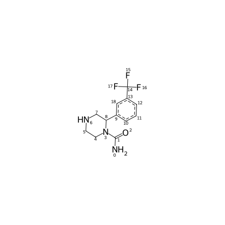 NC(=O)N1CCNCC1c1cccc(C(F)(F)F)c1